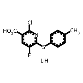 Cc1ccc(Sc2nc(Cl)c(C(=O)O)cc2F)cc1.[LiH]